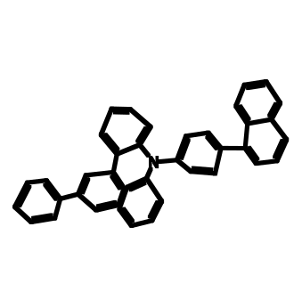 c1ccc(-c2cccc(-c3ccccc3N(c3ccccc3)c3ccc(-c4cccc5ccccc45)cc3)c2)cc1